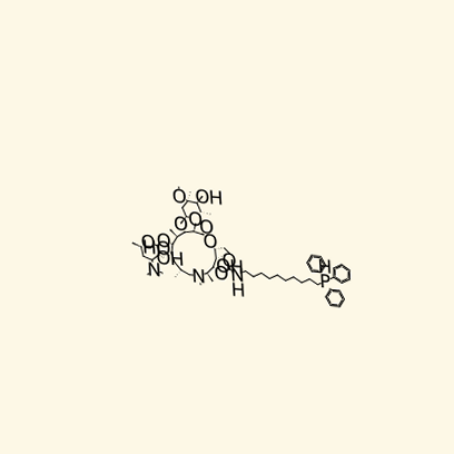 CC[C@H]1OC(=O)[C@H](C)[C@@H](O[C@H]2C[C@@](C)(OC)[C@@H](O)[C@H](C)O2)[C@H](C)[C@@H](O[C@@H]2O[C@H](C)C[C@H](N(C)C)[C@H]2O)[C@](C)(O)C[C@@H](C)CN(C)[C@H](C)[C@@H](OC(=O)NCCCCCCCCCC[PH](c2ccccc2)(c2ccccc2)c2ccccc2)[C@]1(C)O